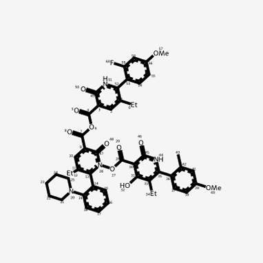 CCc1cc(C(=O)OC(=O)c2cc(CC)c(-c3ccccc3N3CCCCC3)n(OC(=O)c3c(O)c(CC)c(-c4ccc(OC)cc4C)[nH]c3=O)c2=O)c(=O)[nH]c1-c1ccc(OC)cc1F